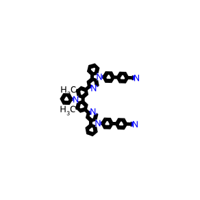 Cc1cc(-c2cc3c4ccccc4n(-c4ccc(-c5ccc(C#N)cc5)cc4)c3cn2)cc2c3cc(-c4cc5c6ccccc6n(-c6ccc(-c7ccc(C#N)cc7)cc6)c5cn4)cc(C)c3n(-c3ccccc3)c12